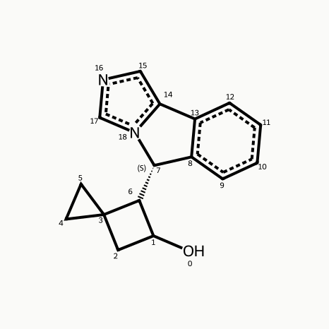 OC1CC2(CC2)C1[C@H]1c2ccccc2-c2cncn21